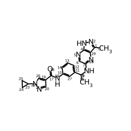 Cc1n[nH]c2ncc(N[C@@H](C)c3cccc(NC(=O)c4cnn(C5CC5)c4)c3)nc12